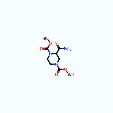 CC(C)(C)OC(=O)N1CCN(C(=O)OC(C)(C)C)C(C(N)=S)C1